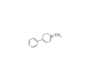 C[N+]1=CC=C(c2ccccc2)CC1